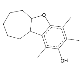 Cc1c(C)c2c(c(C)c1O)C1CCCCCC1O2